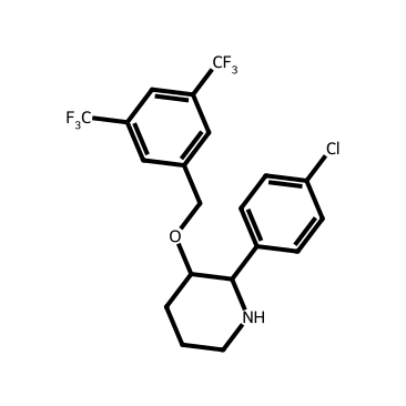 FC(F)(F)c1cc(COC2CCCNC2c2ccc(Cl)cc2)cc(C(F)(F)F)c1